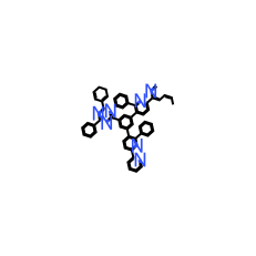 C=N/C(=C\C=C/C)c1ccc(-c2cc(-c3nc(C4=CCCC=C4)nc(-c4ccccc4)n3)cc(-c3ccc(-c4ccccn4)nc3-c3ccccc3)c2)c(-c2ccccc2)n1